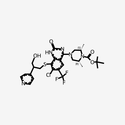 C[C@@H]1CN(c2nc(=O)[nH]c3c(SCC(CO)c4ccncc4)c(Cl)c(C(F)(F)F)cc23)C[C@H](C)N1C(=O)OC(C)(C)C